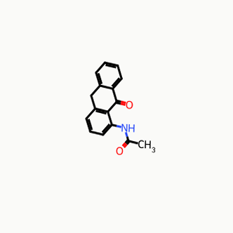 CC(=O)Nc1cccc2c1C(=O)c1ccccc1C2